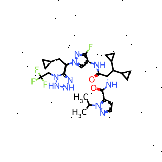 CC(C)n1nccc1C(=O)N[C@H](C(=O)Nc1cn(C(CC2CC2)C2=NNNN2CC(F)(F)F)nc1F)C(C1CC1)C1CC1